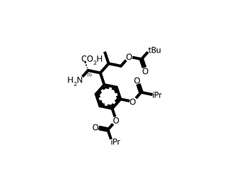 CC(C)C(=O)Oc1ccc(C(C(C)COC(=O)C(C)(C)C)[C@H](N)C(=O)O)cc1OC(=O)C(C)C